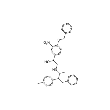 Cc1ccc(C(Cc2ccccc2)C(C)NCC(O)c2ccc(OCc3ccccc3)c([N+](=O)[O-])c2)cc1